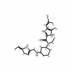 C/C=C1\CC=C(CNC2CCCC(N(CC)C(=O)c3nc(/C=C(\C)F)c(C)[nH]3)C2)O1